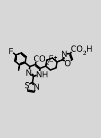 CCOC(=O)C1=C(C2CCC(c3nc(C(=O)O)co3)CC2)NC(c2nccs2)=NC1c1ccc(F)cc1C